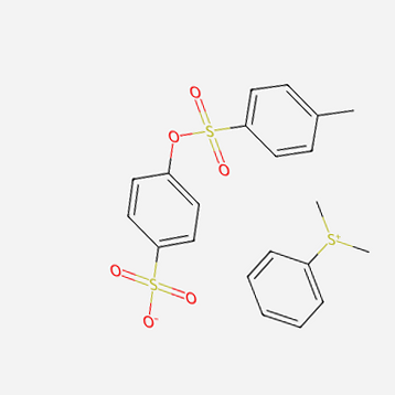 C[S+](C)c1ccccc1.Cc1ccc(S(=O)(=O)Oc2ccc(S(=O)(=O)[O-])cc2)cc1